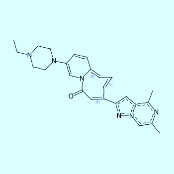 CCN1CCN(C2=CN3C(=O)\C=C(c4cc5c(C)nc(C)cn5n4)/C=C/C=C/3C=C2)CC1